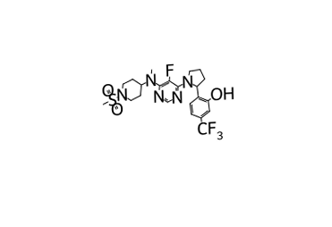 CN(c1ncnc(N2CCCC2c2ccc(C(F)(F)F)cc2O)c1F)C1CCN(S(C)(=O)=O)CC1